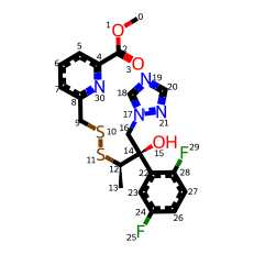 COC(=O)c1cccc(CSS[C@H](C)[C@](O)(Cn2cncn2)c2cc(F)ccc2F)n1